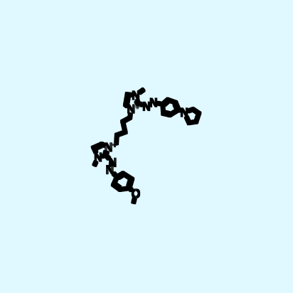 COc1ccc(/N=N/c2n(C)cc[n+]2CCCCC[n+]2ccn(C)c2/N=N/c2ccc(N3CCCC3)cc2)cc1